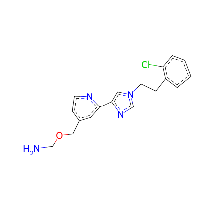 NCOCc1ccnc(-c2cn(CCc3ccccc3Cl)cn2)c1